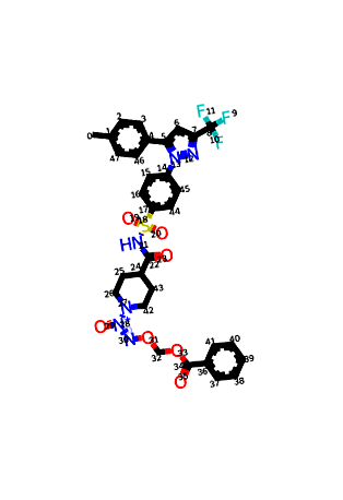 Cc1ccc(-c2cc(C(F)(F)F)nn2-c2ccc(S(=O)(=O)NC(=O)C3CCN(/[N+]([O-])=N\OCOC(=O)c4ccccc4)CC3)cc2)cc1